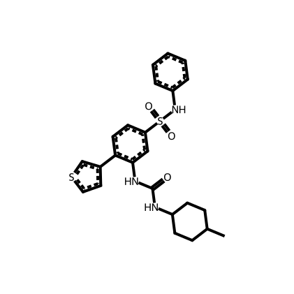 CC1CCC(NC(=O)Nc2cc(S(=O)(=O)Nc3ccccc3)ccc2-c2ccsc2)CC1